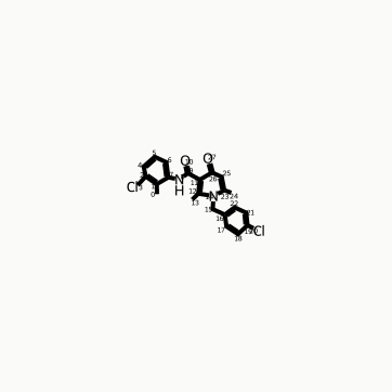 Cc1c(Cl)cccc1NC(=O)c1c(C)n(Cc2ccc(Cl)cc2)c(C)cc1=O